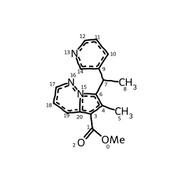 COC(=O)c1c(C)c(C(C)c2cccnc2)n2ncccc12